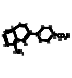 Nc1ncnc2ccc(N3CCN(C(=O)O)CC3)nc12